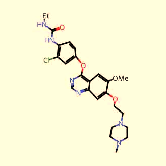 CCNC(=O)Nc1ccc(Oc2ncnc3cc(OCCN4CCN(C)CC4)c(OC)cc23)cc1Cl